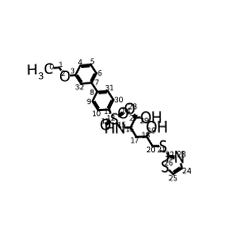 CCOc1cccc(-c2ccc(S(=O)(=O)NC(CC(O)CSc3nccs3)C(=O)O)cc2)c1